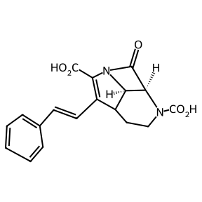 O=C(O)C1=C(/C=C/c2ccccc2)C2CCN(C(=O)O)[C@@H]3C(=O)N1[C@H]23